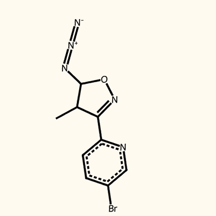 CC1C(c2ccc(Br)cn2)=NOC1N=[N+]=[N-]